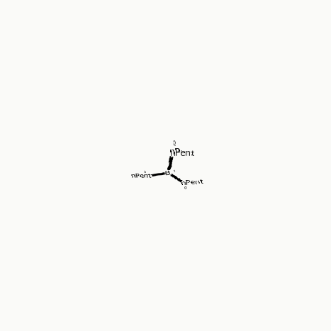 CCCCCB(CCCCC)CCCCC